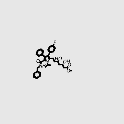 COC(=O)C[C@H](O)C[C@H](O)CCc1c(-c2ccc(F)cc2)c(-c2ccccc2)c(C(=O)NCc2ccccc2)n1C(C)C